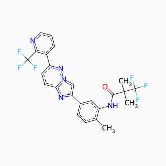 Cc1ccc(-c2cn3nc(-c4cccnc4C(F)(F)F)ccc3n2)cc1NC(=O)C(C)(C)C(F)(F)F